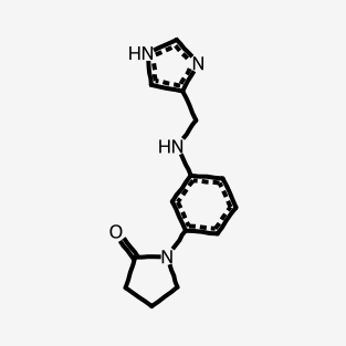 O=C1CCCN1c1cccc(NCc2c[nH]cn2)c1